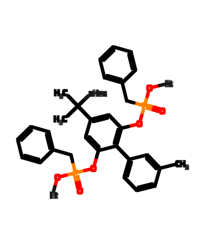 CCCCCCC(C)(C)c1cc(OP(=O)(Cc2ccccc2)OCC)c(-c2cccc(C)c2)c(OP(=O)(Cc2ccccc2)OCC)c1